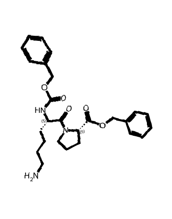 NCCCC[C@H](NC(=O)OCc1ccccc1)C(=O)N1CCC[C@H]1C(=O)OCc1ccccc1